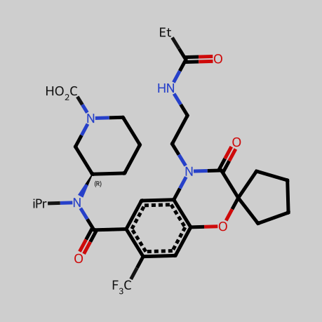 CCC(=O)NCCN1C(=O)C2(CCCC2)Oc2cc(C(F)(F)F)c(C(=O)N(C(C)C)[C@@H]3CCCN(C(=O)O)C3)cc21